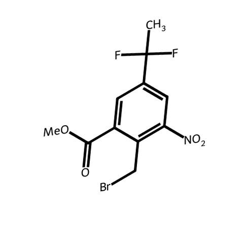 COC(=O)c1cc(C(C)(F)F)cc([N+](=O)[O-])c1CBr